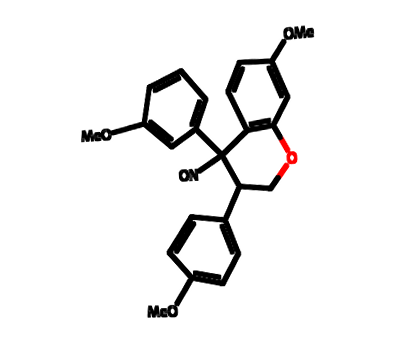 COc1ccc(C2COc3cc(OC)ccc3C2(N=O)c2cccc(OC)c2)cc1